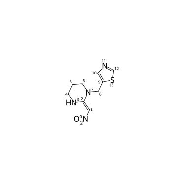 O=[N+]([O-])C=C1NCCCN1Cc1cncs1